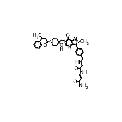 CC(CC(=O)N1CCC(O)(Cn2cnc3c(-c4ccc(CNCC(=O)NC=CC(N)=O)cc4)n(C)nc3c2=O)CC1)c1ccccc1